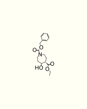 CCOC(=O)[C@@H]1CCN(C(=O)OCc2ccccc2)CC[C@@H]1O